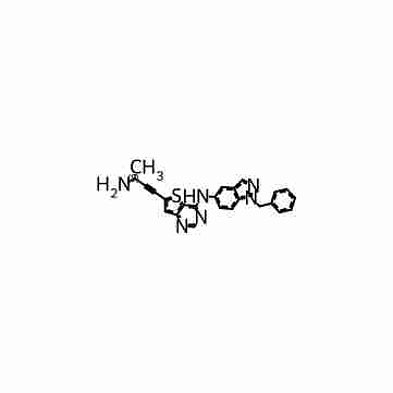 C[C@H](N)C#Cc1cc2ncnc(Nc3ccc4c(cnn4Cc4ccccc4)c3)c2s1